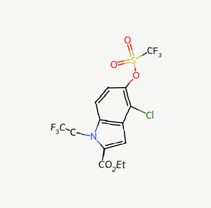 CCOC(=O)c1cc2c(Cl)c(OS(=O)(=O)C(F)(F)F)ccc2n1CC(F)(F)F